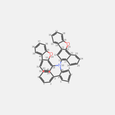 c1ccc(-c2ccccc2N(c2cc3c4ccccc4oc3c3ccccc23)c2cccc3c2oc2ccccc23)cc1